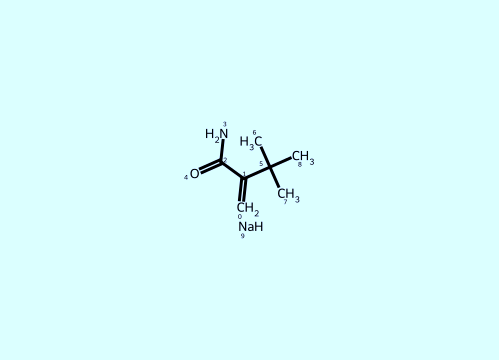 C=C(C(N)=O)C(C)(C)C.[NaH]